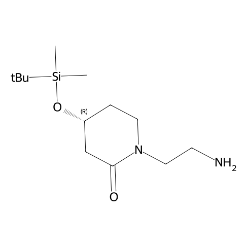 CC(C)(C)[Si](C)(C)O[C@@H]1CCN(CCN)C(=O)C1